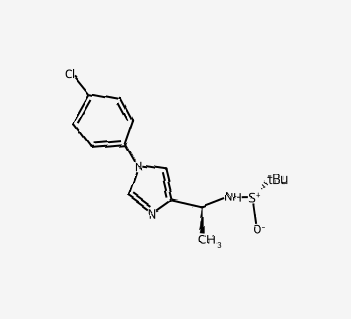 C[C@H](N[S@@+]([O-])C(C)(C)C)c1cn(-c2ccc(Cl)cc2)cn1